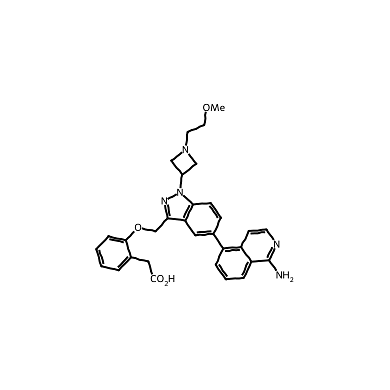 COCCN1CC(n2nc(COc3ccccc3CC(=O)O)c3cc(-c4cccc5c(N)nccc45)ccc32)C1